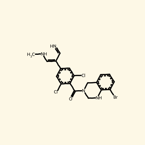 CN/C=C(\C=N)c1cc(Cl)c(C(=O)N2CNc3c(Br)cccc3C2)c(Cl)c1